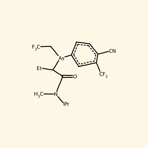 CCC(C(=O)N(C)C(C)C)[As](CC(F)(F)F)c1ccc(C#N)c(C(F)(F)F)c1